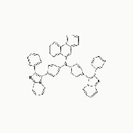 c1ccc(-c2nc3ccccn3c2-c2ccc(N(c3ccc(-c4c(-c5ccccc5)nc5ccccn45)cc3)c3cc4ccccc4c4ccccc34)cc2)cc1